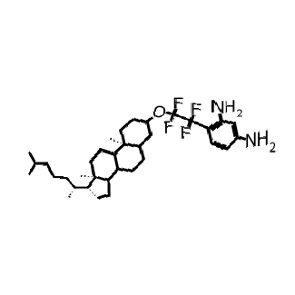 CC(C)CCC[C@@H](C)[C@H]1CCC2C3CCC4CC(OC(F)(F)C(F)(F)c5ccc(N)cc5N)CC[C@]4(C)C3CC[C@@]21C